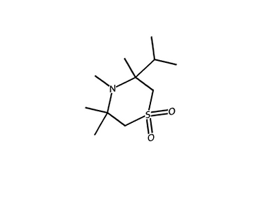 CC(C)C1(C)CS(=O)(=O)CC(C)(C)N1C